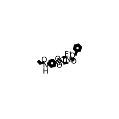 C=CC(=O)Nc1ccc(S(=O)(=O)N2CCN(C(=O)OCc3ccccc3)C(CC)C2)cc1